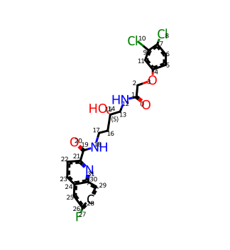 O=C(COc1ccc(Cl)c(Cl)c1)NC[C@@H](O)CCNC(=O)c1ccc2cc(F)ccc2n1